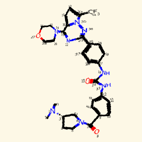 CN(C)[C@H]1CCN(C(=O)c2ccc(NC(=O)Nc3ccc(-c4nc(N5CCOCC5)c5ccc(C(F)(F)F)n5n4)cc3)cc2)C1